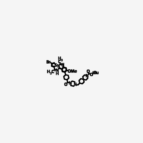 COc1cc2nc(C)nc(N[C@H](C)c3cc(Br)cs3)c2cc1C1CCC(C(=O)N2CCN(CC3CCC4(CC3)CCN(C(=O)OC(C)(C)C)CC4)CC2)CC1